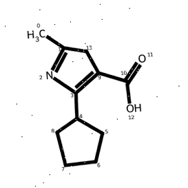 CC1=NC(C2CCCC2)=C(C(=O)O)C1